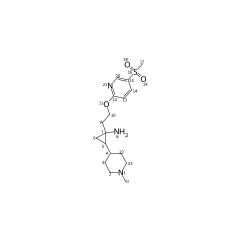 CN1CCC(C2CC2(N)CCOc2ccc(S(C)(=O)=O)cn2)CC1